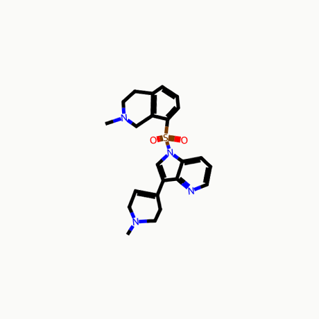 CN1CC=C(c2cn(S(=O)(=O)c3cccc4c3CN(C)CC4)c3cccnc23)CC1